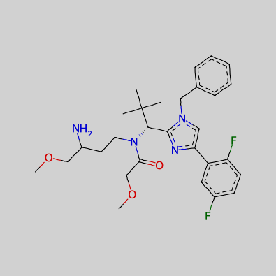 COCC(=O)N(CCC(N)COC)[C@@H](c1nc(-c2cc(F)ccc2F)cn1Cc1ccccc1)C(C)(C)C